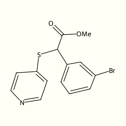 COC(=O)C(Sc1ccncc1)c1cccc(Br)c1